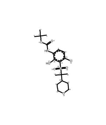 CC(C)(C)OC(=O)Nc1ccc(Cl)c(S(=O)(=O)C(C)(C)C2CCOCC2)c1O